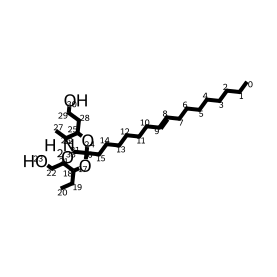 CCCCCCCCC=CCCCCCCC(OC(CC)CCO)(OC(CC)CCO)C(N)=O